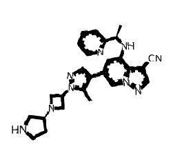 Cc1c(-c2cc(N[C@H](C)c3ccccn3)c3c(C#N)cnn3c2)cnn1C1CN([C@H]2CCNC2)C1